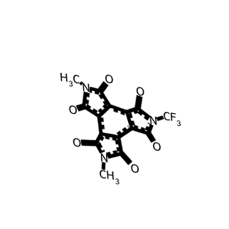 Cn1c(=O)c2c3c(=O)n(C)c(=O)c3c3c(=O)n(C(F)(F)F)c(=O)c3c2c1=O